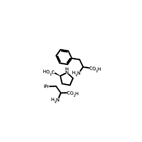 CC(C)CC(N)C(=O)O.NC(Cc1ccccc1)C(=O)O.O=C(O)[C@@H]1CCCN1